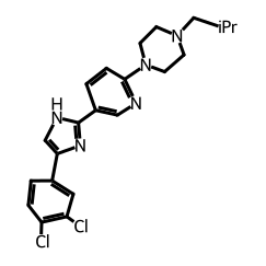 CC(C)CN1CCN(c2ccc(-c3nc(-c4ccc(Cl)c(Cl)c4)c[nH]3)cn2)CC1